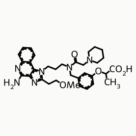 COCCc1nc2c(N)nc3ccccc3c2n1CCCN(Cc1cccc(OC(C)C(=O)O)c1)C(=O)CN1CCCCC1